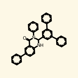 O=C1c2cc(-c3ccccc3)ccc2NC(c2cc(-c3ccccc3)cc(-c3ccccc3)c2)N1c1ccccc1